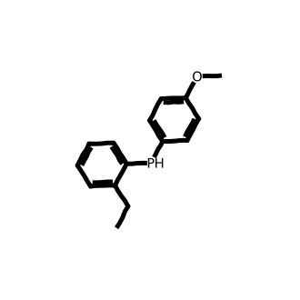 CCc1ccccc1Pc1ccc(OC)cc1